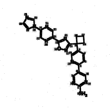 Nc1ncc(-c2ccc(C3(c4noc(-c5cnc(-n6ccnc6)cn5)n4)CCC3)cn2)cn1